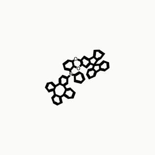 C1=CC2Oc3cc4c(cc3OC2C(N(c2ccccc2)c2ccc3c(c2)-c2ccccc2-c2ccccc2-c2ccccc2-3)=C1)C1(c2ccccc2-c2ccccc21)c1ccccc1-4